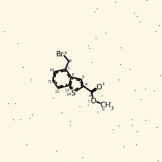 COC(=O)c1cc2c(CBr)cccc2s1